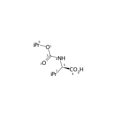 CC(C)OC(=O)N[C@@H](C(=O)O)C(C)C